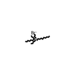 CCCCCCCCCC[P+](CCCC)(CCCC)C(CCC)CCCCCC.[Br-]